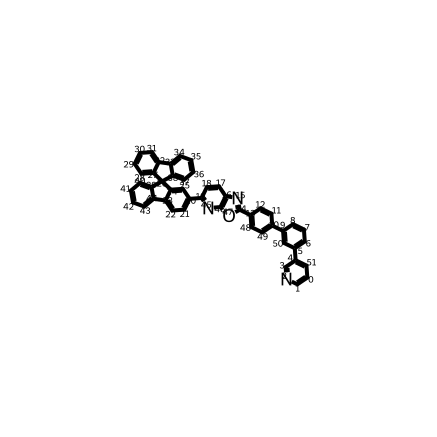 c1cncc(-c2cccc(-c3ccc(-c4nc5ccc(-c6ccc7c(c6)C6(c8ccccc8-c8ccccc86)c6ccccc6-7)nc5o4)cc3)c2)c1